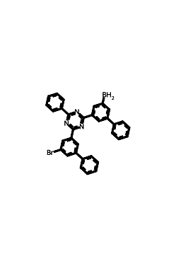 Bc1cc(-c2ccccc2)cc(-c2nc(-c3ccccc3)nc(-c3cc(Br)cc(-c4ccccc4)c3)n2)c1